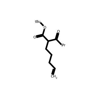 C=CCCCC(C(=O)OC(C)(C)C)C(=O)C(C)C